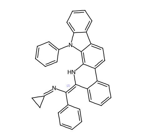 c1ccc(/C(N=C2CC2)=C2/Nc3c(ccc4c5ccccc5n(-c5ccccc5)c34)-c3ccccc32)cc1